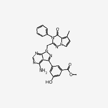 COC(=O)c1cc(O)cc(-c2nn(Cc3nn4ccc(C)c4c(=O)n3-c3ccccc3)c3ncnc(N)c23)c1